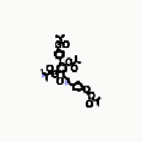 C=C(C)C(=O)OCOc1ccc(/C=C/C(=O)c2cc(OC(=O)C(=C)C)c(-c3ccc(OC(=O)C(=C)C)cc3)cc2OC(=O)/C(C)=C\C)cc1